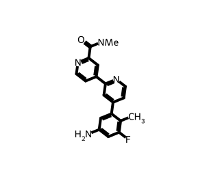 CNC(=O)c1cc(-c2cc(-c3cc(N)cc(F)c3C)ccn2)ccn1